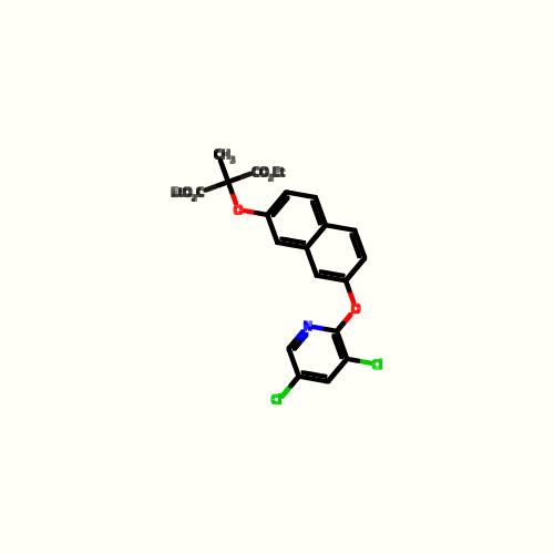 CCOC(=O)C(C)(Oc1ccc2ccc(Oc3ncc(Cl)cc3Cl)cc2c1)C(=O)OCC